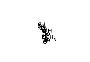 COc1ccc2[nH]c(C(=O)c3cccc([N+](=O)[O-])c3C)cc2c1